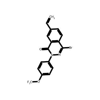 C=Cc1ccc2c(Br)nn(-c3ccc(OC(F)(F)F)cc3)c(=O)c2c1